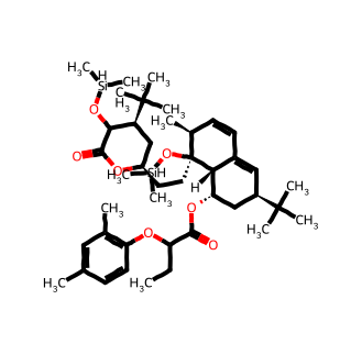 CCC(Oc1ccc(C)cc1C)C(=O)O[C@H]1C[C@H](C(C)(C)C)C=C2C=C[C@H](C)[C@](CC[C@@H]3C[C@H](C(C)(C)C)C(O[SiH](C)C)C(=O)O3)(O[SiH](C)C)[C@H]21